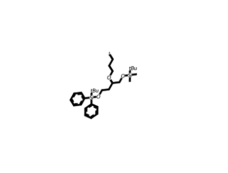 CC(C)(C)[Si](C)(C)OCC(CCO[Si](c1ccccc1)(c1ccccc1)C(C)(C)C)OCCCI